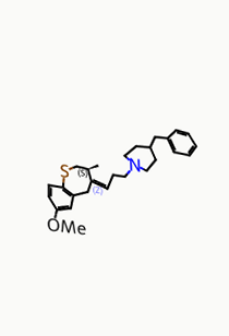 COc1ccc2c(c1)C/C(=C/CCN1CCC(Cc3ccccc3)CC1)[C@H](C)CS2